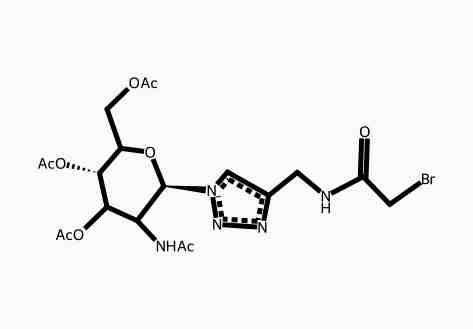 CC(=O)NC1C(OC(C)=O)[C@H](OC(C)=O)C(COC(C)=O)O[C@H]1n1cc(CNC(=O)CBr)nn1